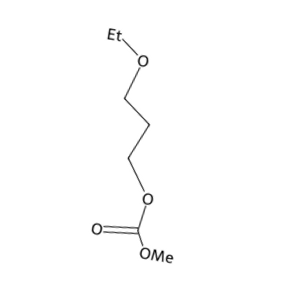 CCOCCCOC(=O)OC